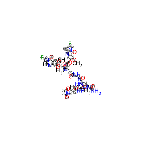 COc1cc2c(cc1OCCP(=O)(CCOc1cc3c(cc1OC)C(=O)N1C[C@H](F)C[C@H]1C=N3)N(C)CCCC(=O)NCCNC(=O)[C@@H](CCCNC(N)=O)NC(=O)C(C)(C)NC(=O)CCCN1C(=O)C=CC1=O)N=C[C@@H]1C[C@@H](F)CN1C2=O